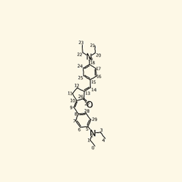 CCN(CC)c1ccc(C=C2CC/C(=C\c3ccc(N(CC)CC)cc3)C2=O)cc1